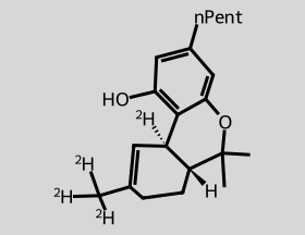 [2H]C([2H])([2H])C1=C[C@@]2([2H])c3c(O)cc(CCCCC)cc3OC(C)(C)[C@@H]2CC1